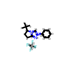 CC(C)(C)C1CCc2n[n+](-c3ccccc3)cn21.F[B-](F)(F)F